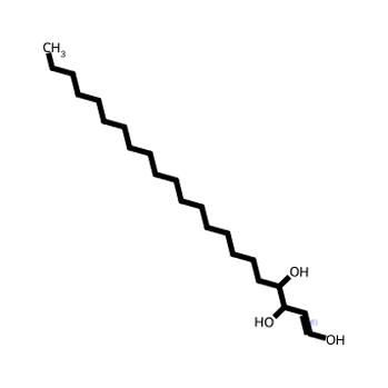 CCCCCCCCCCCCCCCCCCC(O)C(O)/C=C/O